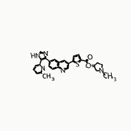 Cc1cccc(-c2[nH]cnc2-c2ccc3ncc(-c4ccc(C(=O)O[C@@H]5CCN(C)C5)s4)cc3c2)n1